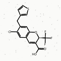 O=C(O)C1=Cc2cc(Cl)c(Cc3ccsc3)cc2O[C@H]1C(F)(F)F